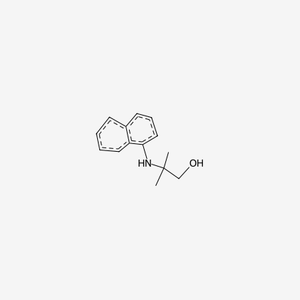 CC(C)(CO)Nc1cccc2ccccc12